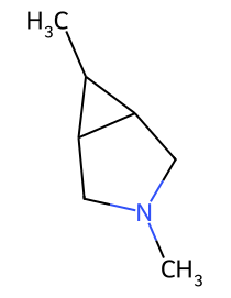 CC1C2CN(C)CC12